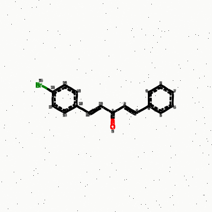 O=C(/C=C/c1ccccc1)/C=C/c1ccc(Br)cc1